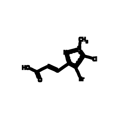 Cn1nc(/C=C/C(=O)O)c(Br)c1Cl